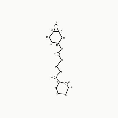 C1CCC(OCCCOCC2CCC3OC3C2)OC1